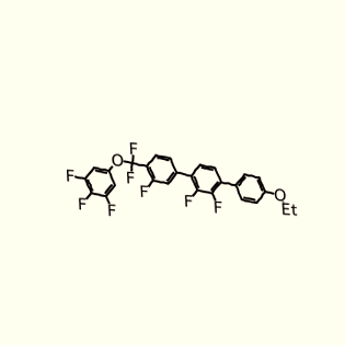 CCOc1ccc(-c2ccc(-c3ccc(C(F)(F)Oc4cc(F)c(F)c(F)c4)c(F)c3)c(F)c2F)cc1